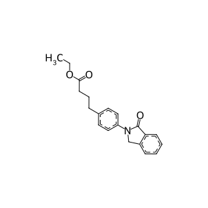 CCOC(=O)CCCc1ccc(N2Cc3ccccc3C2=O)cc1